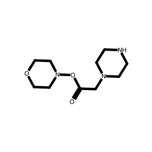 O=C(CN1CCNCC1)ON1CCOCC1